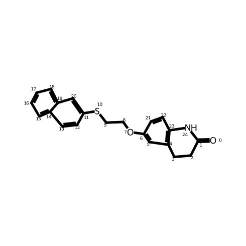 O=C1CCc2cc(OCCSc3ccc4ccccc4c3)ccc2N1